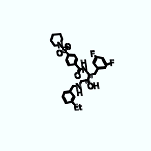 CCc1cccc(CNC[C@H](O)[C@H](Cc2cc(F)cc(F)c2)NC(=O)c2ccc(S(=O)(=O)N3CCCCC3)cc2)c1